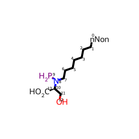 CCCCCCCCCCCCCCCCN(P)[C@@H](CO)C(=O)O